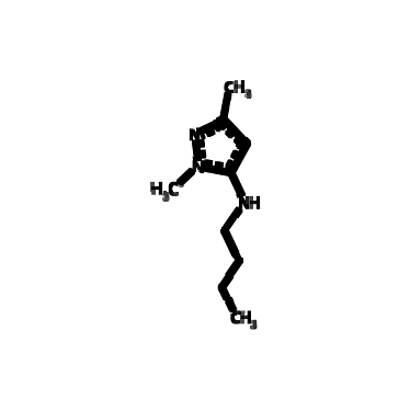 CCCCNc1cc(C)nn1C